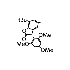 COc1cc(OC)c([C@@H]2C(=O)Oc3c2cc(C)cc3C(C)(C)C)c(OC)c1